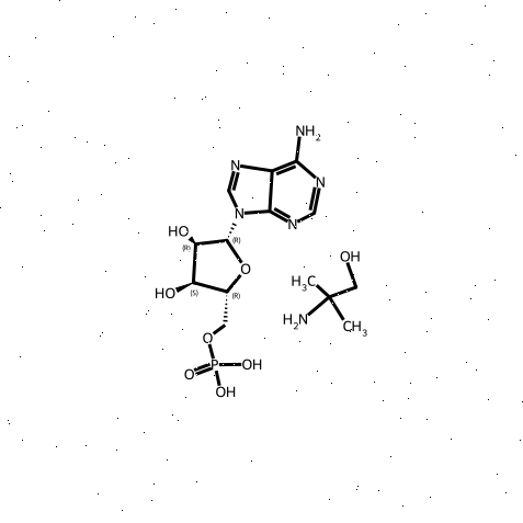 CC(C)(N)CO.Nc1ncnc2c1ncn2[C@@H]1O[C@H](COP(=O)(O)O)[C@@H](O)[C@H]1O